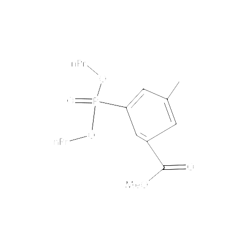 CCCOP(=O)(OCCC)c1cc(C)cc(C(=O)OC)c1